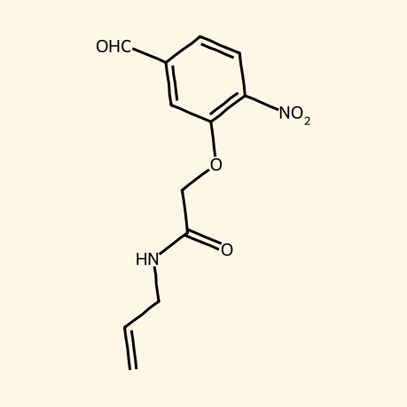 C=CCNC(=O)COc1cc(C=O)ccc1[N+](=O)[O-]